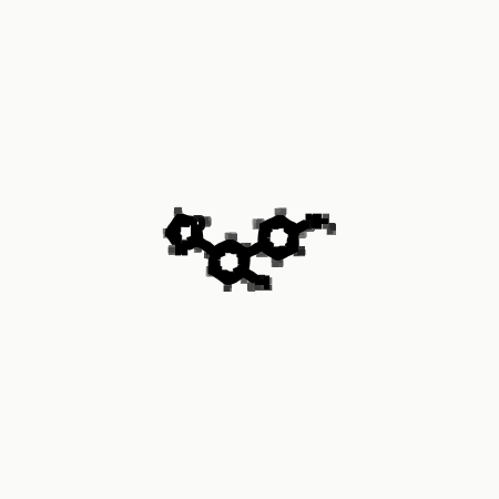 CCc1ccc(-c2ncco2)cc1-c1ccc(N)cc1